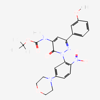 COc1cccc(-c2cc(N(C)C(=O)OC(C)(C)C)c(=O)n(-c3cc(N4CCOCC4)ccc3[N+](=O)[O-])n2)c1